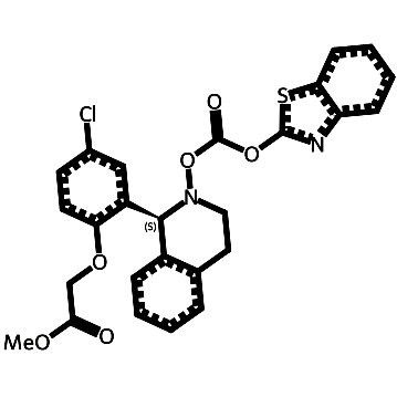 COC(=O)COc1ccc(Cl)cc1[C@@H]1c2ccccc2CCN1OC(=O)Oc1nc2ccccc2s1